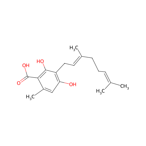 CC(C)=CCC/C(C)=C/Cc1c(O)cc(C)c(C(=O)O)c1O